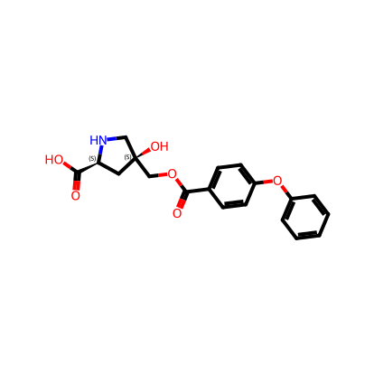 O=C(OC[C@@]1(O)CN[C@H](C(=O)O)C1)c1ccc(Oc2ccccc2)cc1